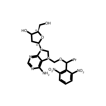 CC(C)C(OCN1CN([C@H]2CC(O)[C@@H](CO)O2)c2ncnc(N)c21)c1c([N+](=O)[O-])cccc1[N+](=O)[O-]